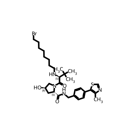 Cc1ncsc1-c1ccc(CNC(=O)[C@@H]2C[C@@H](O)CN2C(=O)[C@@H](NCCCCCCCCBr)C(C)(C)C)cc1